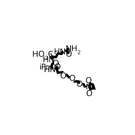 CC(C)[C@@H](NC(=O)CCOCCOCCOCCN1C(=O)C=CC1=O)C(=O)N[C@H](CCCNC(N)=O)C(=O)O